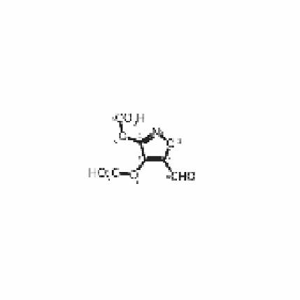 O=Cc1onc(OC(=O)O)c1OC(=O)O